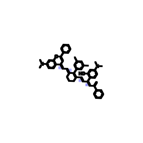 C=C(/C=C(/C=C/C1=C(c2cc(C)cc(C)c2)C(=C/C=C2\C=C(c3ccccc3)Oc3cc(N(C)C)ccc32)/CCC1)c1ccc(N(C)C)cc1O)c1ccccc1